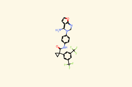 NC1=c2ccoc2=NCN1c1ccc(NC(=O)C2(c3cc(C(F)(F)F)cc(C(F)(F)F)c3)CC2)cc1